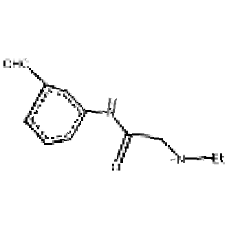 CCNCC(=O)Nc1cccc(C=O)c1